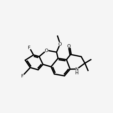 COC1Oc2c(F)cc(F)cc2-c2ccc3c(c21)C(=O)CC(C)(C)N3